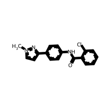 Cn1ccc(-c2ccc(NC(=O)c3ccccc3Cl)cc2)n1